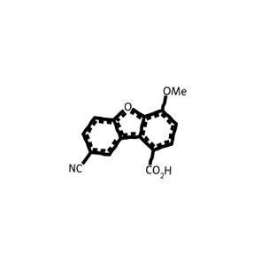 COc1ccc(C(=O)O)c2c1oc1ccc(C#N)cc12